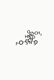 CC1=CC(=O)N(Nc2nc(-c3cccs3)nc3sc(-c4ccc(F)cc4)cc23)C1=O